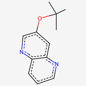 CC(C)(C)Oc1cnc2cccnc2c1